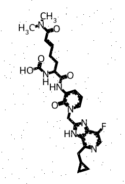 CN(C)C(=O)C=CCCC(NC(=O)O)C(=O)Nc1cccn(Cc2nc3c(F)cnc(CC4CC4)c3[nH]2)c1=O